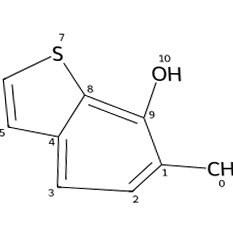 Cc1ccc2ccsc2c1O